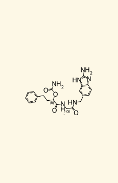 C[C@H](NC(=O)[C@@H](CCc1ccccc1)OC(N)=O)C(=O)NCc1ccc2nc(N)[nH]c2c1